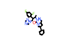 CC(C(Cn1cncn1)c1ccc(F)cc1F)n1ncc2cc(-c3ccccc3)cn2c1=O